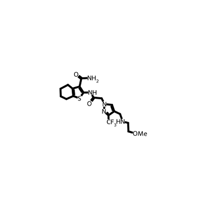 COCCNCc1cn(CC(=O)Nc2sc3c(c2C(N)=O)CCCC3)nc1C(F)(F)F